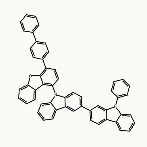 c1ccc(-c2ccc(-c3ccc(-n4c5ccccc5c5cc(-c6ccc7c8ccccc8n(-c8ccccc8)c7c6)ccc54)c4c3oc3ccccc34)cc2)cc1